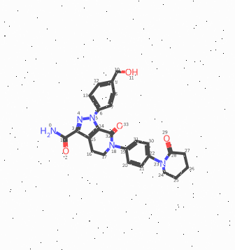 NC(=O)c1nn(-c2ccc(CO)cc2)c2c1CCN(c1ccc(N3CCCCC3=O)cc1)C2=O